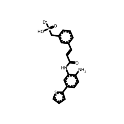 CCP(=O)(O)Cc1cccc(C=CC(=O)Nc2cc(-c3cccs3)ccc2N)c1